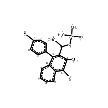 Cc1c(C(C=O)O[Si](C)(C)C(C)(C)C)c(-c2ccc(Cl)cc2)c2ccccc2c1Br